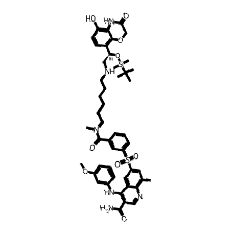 COc1cccc(Nc2c(C(N)=O)cnc3c(C)cc(S(=O)(=O)c4cccc(C(=O)N(C)CCCCCCNC[C@H](O[Si](C)(C)C(C)(C)C)c5ccc(O)c6c5OCC(=O)N6)c4)cc23)c1